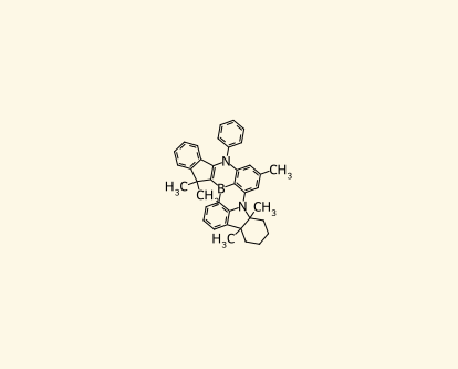 Cc1cc2c3c(c1)N1c4c(cccc4C4(C)CCCCC14C)B3C1=C(c3ccccc3C1(C)C)N2c1ccccc1